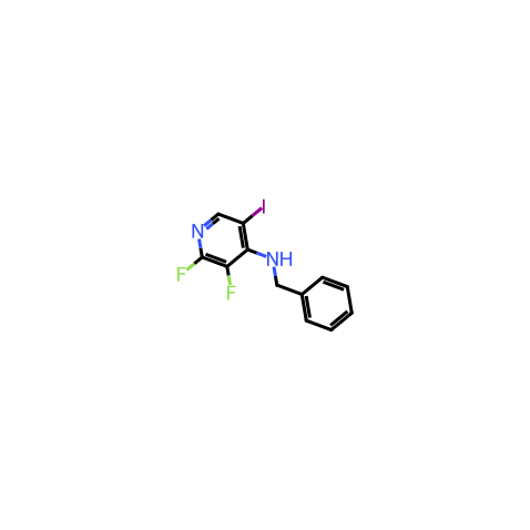 Fc1ncc(I)c(NCc2ccccc2)c1F